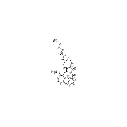 CC1=C(CN)C=CCC(Cc2cccc(NCC(=O)/C3=C/CC[C@H](CCNCCCO)CCN3)c2C)C1